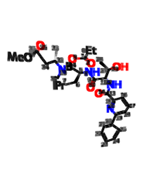 CCC(=O)OB([C@H](CC(C)C)NC(=O)[C@@H](NC(=O)c1cccc(-c2ccccc2)n1)[C@@H](C)O)N(C)[C@@H](C)CC(=O)OC